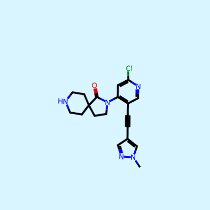 Cn1cc(C#Cc2cnc(Cl)cc2N2CCC3(CCNCC3)C2=O)cn1